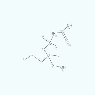 CCCC(C)(CO)CC(C)(C)NC(=O)O